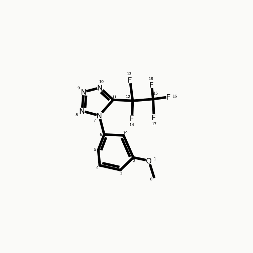 COc1cccc(-n2nnnc2C(F)(F)C(F)(F)F)c1